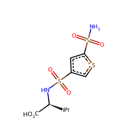 CC(C)[C@H](NS(=O)(=O)c1csc(S(N)(=O)=O)c1)C(=O)O